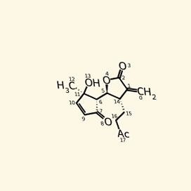 C=C1C(=O)O[C@H]([C@@H]2C(=O)C=C[C@@]2(C)O)[C@H]1CCC(C)=O